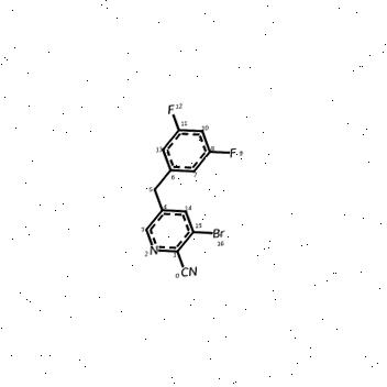 N#Cc1ncc(Cc2cc(F)cc(F)c2)cc1Br